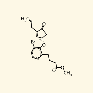 C=CCC1=C[C@@H](Oc2c(Br)cccc2CCCC(=O)OC)CC1=O